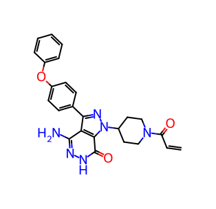 C=CC(=O)N1CCC(n2nc(-c3ccc(Oc4ccccc4)cc3)c3c(N)n[nH]c(=O)c32)CC1